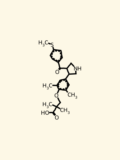 CSc1ccc(C(=O)C2CNCC2c2cc(C)c(OCC(C)(C)C(=O)O)c(C)c2)cc1